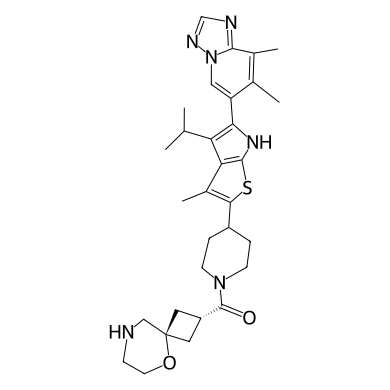 Cc1c(-c2[nH]c3sc(C4CCN(C(=O)[C@H]5C[C@@]6(CNCCO6)C5)CC4)c(C)c3c2C(C)C)cn2ncnc2c1C